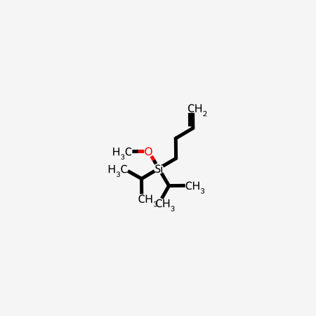 C=CCC[Si](OC)(C(C)C)C(C)C